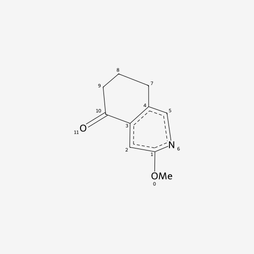 COc1cc2c(cn1)CCCC2=O